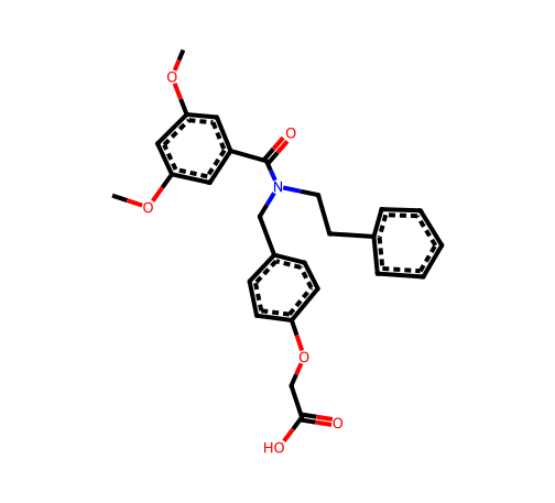 COc1cc(OC)cc(C(=O)N(CCc2ccccc2)Cc2ccc(OCC(=O)O)cc2)c1